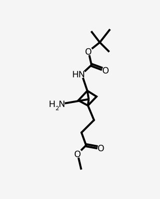 COC(=O)CCC12CC(NC(=O)OC(C)(C)C)(C1)C2N